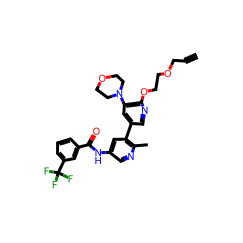 C#CCOCCOc1ncc(-c2cc(NC(=O)c3cccc(C(F)(F)F)c3)cnc2C)cc1N1CCOCC1